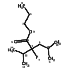 CCCOC(=O)C(F)(CC(C)C)C(C)C